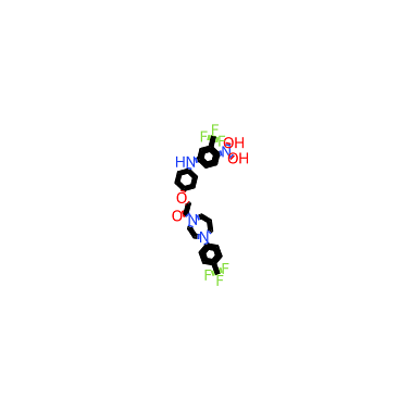 O=C(COC1CCC(Nc2ccc(N(O)O)c(C(F)(F)F)c2)CC1)N1CCCN(c2ccc(C(F)(F)F)cc2)CC1